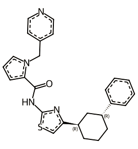 O=C(Nc1nc([C@@H]2CCC[C@@H](c3ccccc3)C2)cs1)c1cccn1Cc1ccncc1